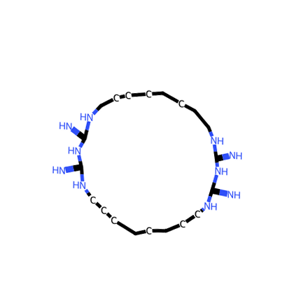 N=C1NCCCCCCCCNC(=N)NC(=N)NCCCCCCCCNC(=N)N1